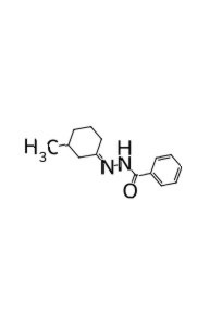 CC1CCC/C(=N\NC(=O)c2ccccc2)C1